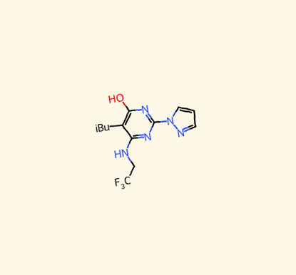 CCC(C)c1c(O)nc(-n2cccn2)nc1NCC(F)(F)F